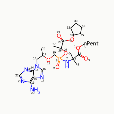 CCCCCOC(=O)C(C)(C)NP(=O)(COC(C)Cn1cnc2c(N)ncnc21)OC(C)C(=O)OC1CCCC1